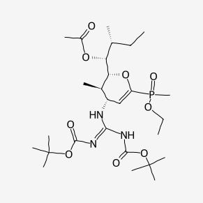 CCOP(C)(=O)C1=C[C@H](N/C(=N\C(=O)OC(C)(C)C)NC(=O)OC(C)(C)C)[C@@H](C)[C@H]([C@H](OC(C)=O)[C@H](C)CC)O1